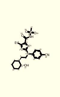 CCc1oc(N(CC[C@@H]2CCCC[C@H]2O)c2ccc(C#N)cc2)nc1C(=O)NS(C)(=O)=O